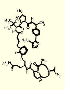 CC(=O)N1CC[C@H]2CCC(C(=O)N[C@@H](CCC(N)=O)COc3cccc(CCCC(=O)N[C@H](C(=O)N4C[C@H](O)C[C@H]4C(=O)N[C@@H](C)c4ccc(-c5scnc5C)cc4)C(C)(C)C)c3F)N2C(=O)[C@@H](N)C1